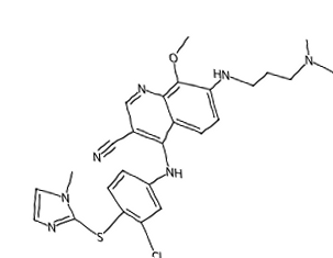 COc1c(NCCCN(C)C)ccc2c(Nc3ccc(Sc4nccn4C)c(Cl)c3)c(C#N)cnc12